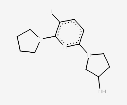 Nc1ccc(N2CCC(N)C2)nc1N1CCCC1